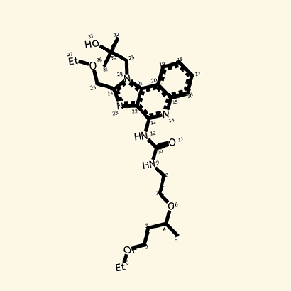 CCOCCC(C)OCCNC(=O)Nc1nc2ccccc2c2c1nc(COCC)n2CC(C)(C)O